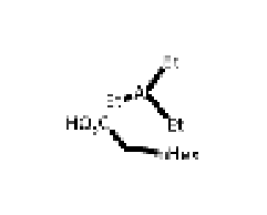 CCCCCCCC(=O)O.C[CH2][Al]([CH2]C)[CH2]C